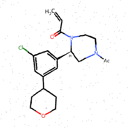 C=CC(=O)N1CCN(C(C)=O)C[C@H]1c1cc(Cl)cc(C2CCOCC2)c1